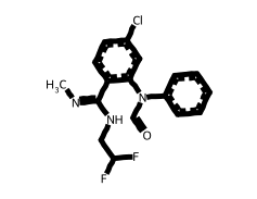 C/N=C(/NCC(F)F)c1ccc(Cl)cc1N(C=O)c1ccccc1